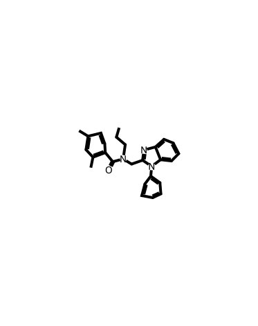 CCCN(Cc1nc2ccccc2n1-c1ccccc1)C(=O)c1ccc(C)cc1C